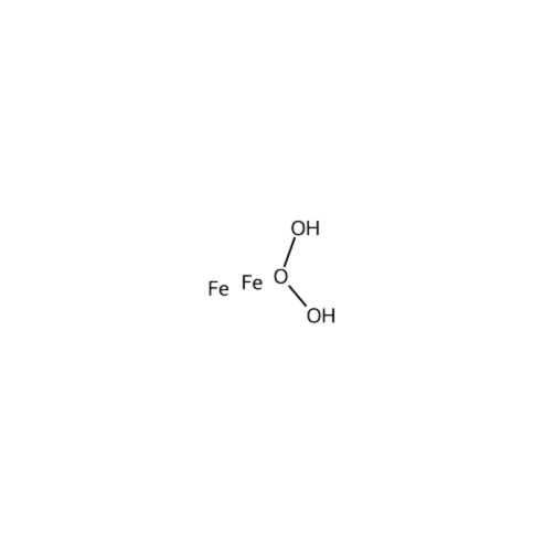 OOO.[Fe].[Fe]